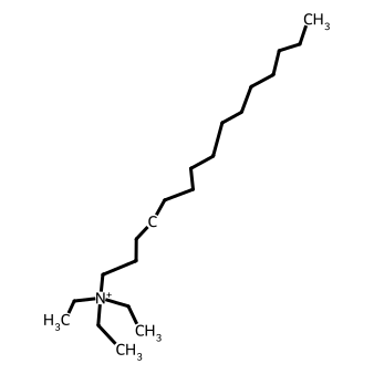 CCCCCCCCCCCCCCC[N+](CC)(CC)CC